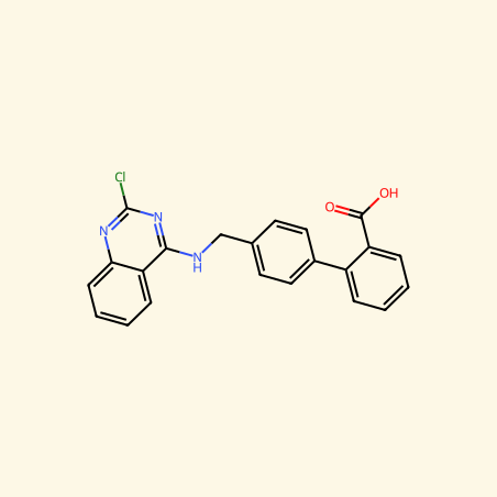 O=C(O)c1ccccc1-c1ccc(CNc2nc(Cl)nc3ccccc23)cc1